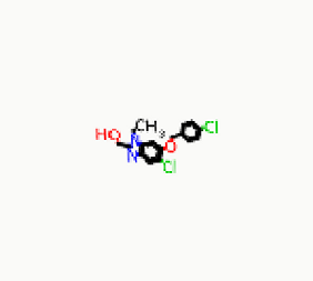 CCn1c(CO)nc2cc(Cl)c(OCc3ccc(Cl)cc3)cc21